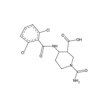 NC(=O)N1CCC(NC(=O)c2c(Cl)cccc2Cl)C(C(=O)O)C1